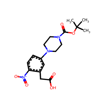 CC(C)(C)OC(=O)N1CCN(c2ccc([N+](=O)[O-])c(CC(=O)O)c2)CC1